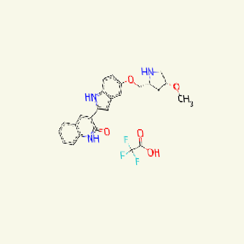 CO[C@H]1CN[C@@H](COc2ccc3[nH]c(-c4cc5ccccc5[nH]c4=O)cc3c2)C1.O=C(O)C(F)(F)F